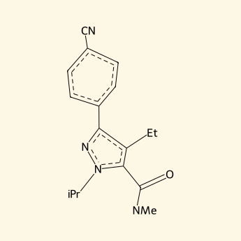 CCc1c(-c2ccc(C#N)cc2)nn(C(C)C)c1C(=O)NC